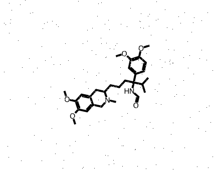 COc1ccc(C(CCCC2Cc3cc(OC)c(OC)cc3CN2C)(NC=O)C(C)C)cc1OC